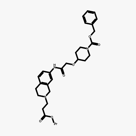 CC(C)OC(=O)CCN1CCc2ccc(NC(=O)COC3CCN(C(=O)OCc4ccccc4)CC3)cc2C1